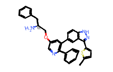 Cc1ccc(-c2n[nH]c3ccc(-c4cc(OC[C@@H](N)Cc5ccccc5)cnc4-c4ccccc4)cc23)s1